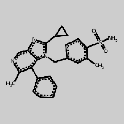 Cc1cc(Cn2c(C3CC3)nc3cnc(C)c(-c4ccccc4)c32)ccc1S(N)(=O)=O